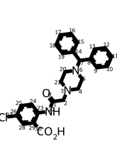 O=C(CN1CCN(C(c2ccccc2)c2ccccc2)CC1)Nc1ccc(Cl)cc1C(=O)O